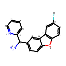 NC(c1ccc2oc3ccc(F)cc3c2c1)c1ccccn1